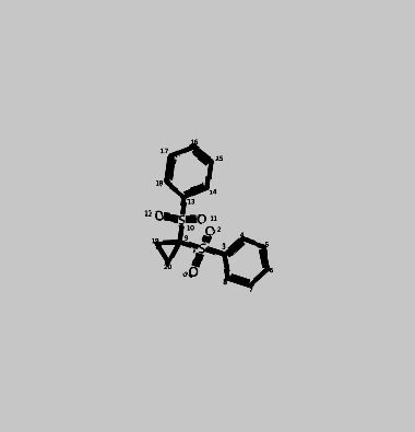 O=S(=O)(c1ccccc1)C1(S(=O)(=O)c2ccccc2)CC1